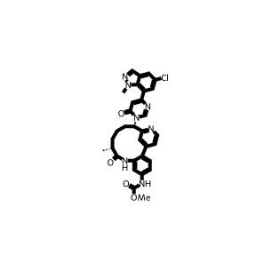 COC(=O)Nc1ccc2c(c1)NC(=O)[C@H](C)CCC[C@H](n1cnc(-c3cc(Cl)cc4cnn(C)c34)cc1=O)c1cc-2ccn1